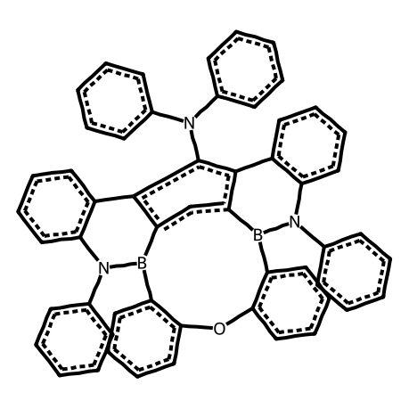 c1ccc(N2B3c4ccccc4Oc4ccccc4B4c5cc3c(c(N(c3ccccc3)c3ccccc3)c5-c3ccccc3N4c3ccccc3)-c3ccccc32)cc1